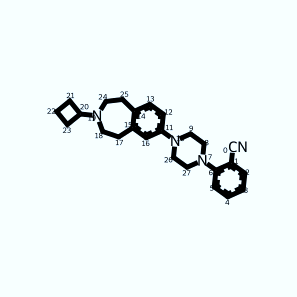 N#Cc1ccccc1N1CCN(c2ccc3c(c2)CCN(C2CCC2)CC3)CC1